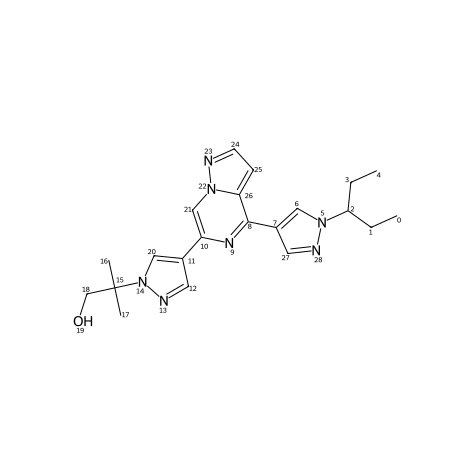 CCC(CC)n1cc(-c2nc(-c3cnn(C(C)(C)CO)c3)cn3nccc23)cn1